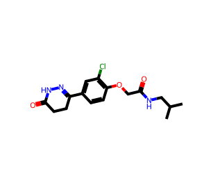 CC(C)CNC(=O)COc1ccc(C2=NNC(=O)CC2)cc1Cl